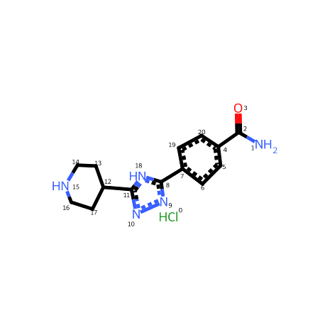 Cl.NC(=O)c1ccc(-c2nnc(C3CCNCC3)[nH]2)cc1